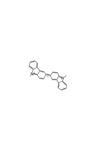 C[N+]1=c2cc/c(=c3/ccc4c(c3)-c3ccccc3[N+]=4C)cc2-c2ccccc21